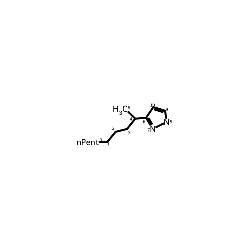 CCCCCCCCC(C)C1=N[N]C=C1